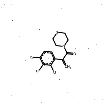 C=C(C(=O)N1CCSCC1)c1ccc(S)c(Cl)c1Cl